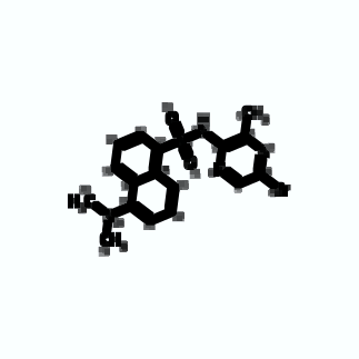 Cc1nc(Br)cnc1NS(=O)(=O)c1cccc2c(N(C)C)cccc12